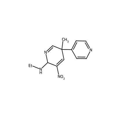 CCNC1N=CC(C)(c2ccncc2)C=C1[N+](=O)[O-]